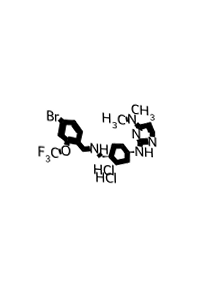 CN(C)c1ccnc(N[C@H]2CC[C@@H](CNCc3ccc(Br)cc3OC(F)(F)F)CC2)n1.Cl.Cl